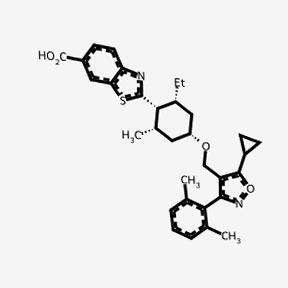 CC[C@@H]1C[C@H](OCc2c(-c3c(C)cccc3C)noc2C2CC2)C[C@H](C)[C@@H]1c1nc2ccc(C(=O)O)cc2s1